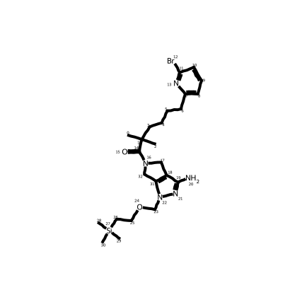 CC(C)(CCCCc1cccc(Br)n1)C(=O)N1Cc2c(N)nn(COCC[Si](C)(C)C)c2C1